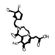 O=C(O)Cc1cc(=O)c(O)c2n1CCN(Cc1ccc(Cl)c(Cl)c1)C2=O